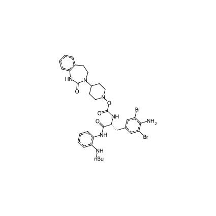 CCCCNc1ccccc1NC(=O)[C@@H](Cc1cc(Br)c(N)c(Br)c1)NC(=O)ON1CCC(N2CCc3ccccc3NC2=O)CC1